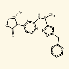 CC(C)[C@H]1COC(=O)N1c1ccnc(N[C@@H](C)c2cn(Cc3ccccc3)nn2)n1